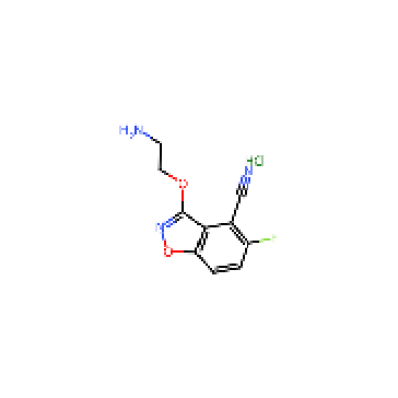 Cl.N#Cc1c(F)ccc2onc(OCCN)c12